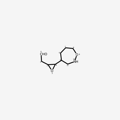 O=CCC1OC1C1CCCONC1